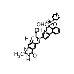 C#CCN(Cc1cc2c(=O)[nH]c(C)nc2cc1C)c1ccc(-c2ccccc2C(F)(C=O)S(=O)(=O)c2ccncc2)nc1